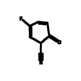 N#CC1C=C(F)C=CC1=O